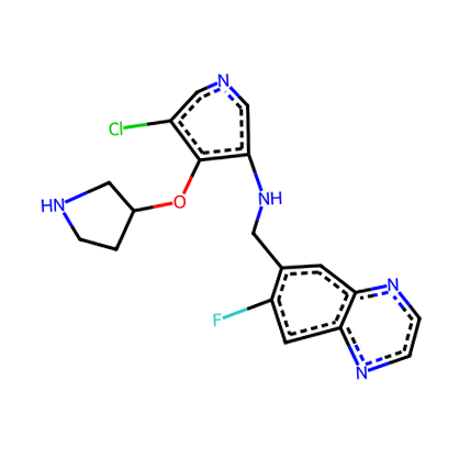 Fc1cc2nccnc2cc1CNc1cncc(Cl)c1OC1CCNC1